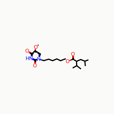 COc1cn(CCCCCCOC(=O)C(CC(C)C)C(C)C)c(=O)[nH]c1=O